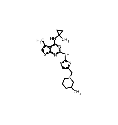 Cc1csc2nc(Nc3nc(CN4CCCC(C)C4)cs3)nc(NC3(C)CC3)c12